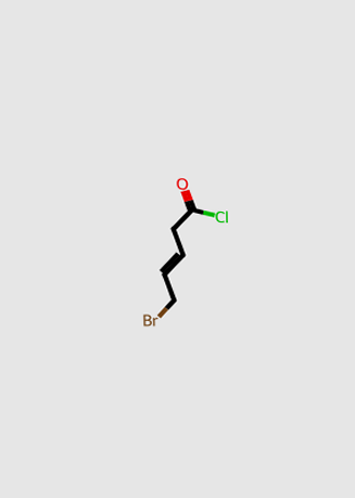 O=C(Cl)CC=CCBr